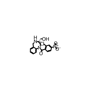 O=C(c1ccc([N+](=O)[O-])cc1Cl)N1C[C@@H](CO)NCc2ccccc21